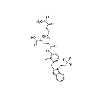 CN(C)C(=O)/C=C/CC[C@@H](CN(C)C(=O)O)C(=O)Nc1cccn(Cc2nc3cc(F)ccc3n2CCC(F)(F)F)c1=O